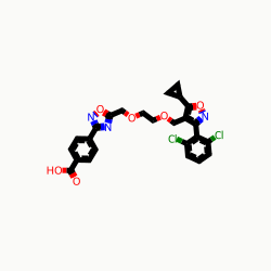 O=C(O)c1ccc(-c2noc(COCCOCc3c(-c4c(Cl)cccc4Cl)noc3C3CC3)n2)cc1